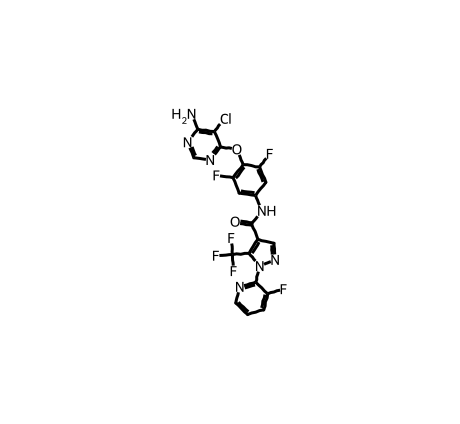 Nc1ncnc(Oc2c(F)cc(NC(=O)c3cnn(-c4ncccc4F)c3C(F)(F)F)cc2F)c1Cl